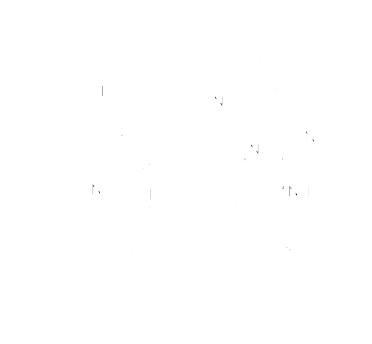 Cc1cc(Nc2ncc3ccn(-c4cc(F)c(CN5CCOCC5)c(F)c4)c3n2)ccc1F